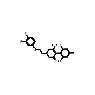 CCc1cc(C)cc(CC)c1C1=C(O)CC(CCSc2ccc(F)c(F)c2)CC1=O